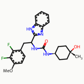 COc1ccc(CC(NC(=O)N[C@H]2CC[C@](C)(O)CC2)c2nc3ccccc3[nH]2)c(F)c1F